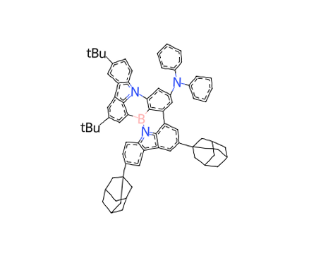 CC(C)(C)c1ccc2c(c1)c1cc(C(C)(C)C)cc3c1n2-c1cc(N(c2ccccc2)c2ccccc2)cc2c1B3n1c3ccc(C45CC6CC(CC(C6)C4)C5)cc3c3cc(C45CC6CC(CC(C6)C4)C5)cc-2c31